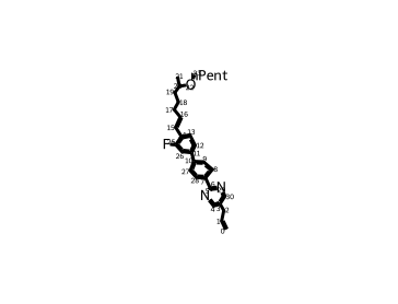 C=CCc1cnc(-c2ccc(-c3ccc(C=CCCCC(C)OCCCCC)c(F)c3)cc2)nc1